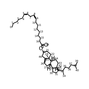 CCCCC/C=C\C/C=C\CCCCCCCC(=O)OC1CC[C@@]2(C)C(=CC[C@H]3[C@@H]4CC[C@H]([C@H](C)CCCC(C)C)[C@@]4(C)CC[C@@H]32)C1